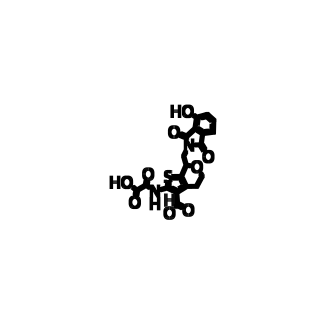 O=C(O)C(=O)Nc1sc2c(c1C(=O)O)CCOC2CN1C(=O)c2cccc(O)c2C1=O